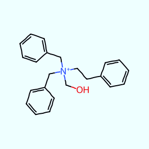 OC[N+](CCc1ccccc1)(Cc1ccccc1)Cc1ccccc1